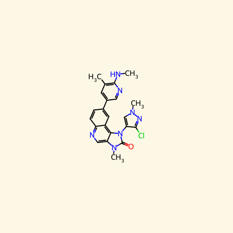 CNc1ncc(-c2ccc3ncc4c(c3c2)n(-c2cn(C)nc2Cl)c(=O)n4C)cc1C